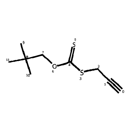 C#CCSC(=S)OCC(C)(C)C